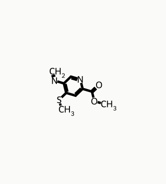 C=Nc1cnc(C(=O)OC)cc1SC